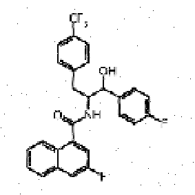 O=C(NC(Cc1ccc(C(F)(F)F)cc1)C(O)c1ccc(F)cc1)c1cc(F)cc2ccccc12